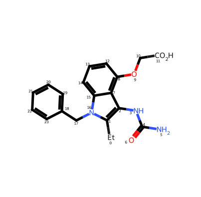 CCc1c(NC(N)=O)c2c(OCC(=O)O)cccc2n1Cc1ccccc1